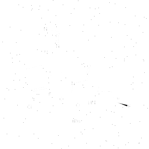 CC(C)(C)OC(=O)N(Cc1c(-n2cncn2)ccc(Cl)c1F)C(=O)[C@@H]1C[C@@H](F)CN1